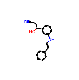 N#CCC(O)c1cccc(NC=Cc2ccccc2)c1